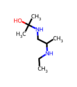 CCNC(C)CNC(C)(C)O